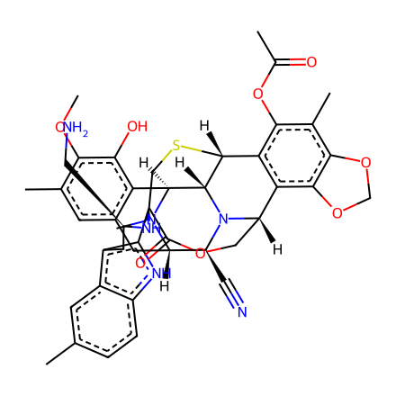 COc1c(C)cc2c(c1O)[C@H]1[C@@H]3[C@@H]4SC[C@]5(N[C@H](CN)Cc6c5[nH]c5ccc(C)cc65)C(=O)OC[C@@H](c5c6c(c(C)c(OC(C)=O)c54)OCO6)N3[C@@H](C#N)[C@H](C2)N1C